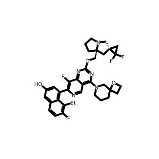 CCc1c(F)ccc2cc(O)cc(-c3ncc4c(N5CCCC6(CCO6)C5)nc(OC[C@@]56CCCN5C[C@@]5(CC5(F)F)C6)nc4c3F)c12